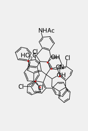 CC(=O)Nc1ccc(-c2ccc(C)cc2)c(C(C(=O)O)C(c2cc(Cl)ccc2-c2ccccc2)C(O)C(C#N)C(c2cc(Cl)ccc2-c2ccccc2)(c2cc(Cl)ccc2-c2ccccc2)C(O)Cc2ccccc2-c2ccc(Cl)cc2)c1